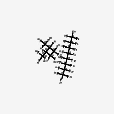 FC(F)(F)C(F)(F)C(F)(F)C(F)(F)C(F)(F)C(F)(F)C(F)(F)C(F)(F)F.FC(F)(F)C1(F)C(F)(F)C(F)(F)C1(F)C(F)(F)F